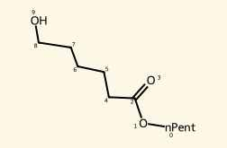 CCCCCOC(=O)CCCCCO